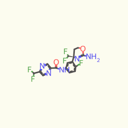 NC1=N[C@@](c2cc(NC(=O)c3cnc(C(F)F)cn3)ccc2F)(C(F)F)CCO1